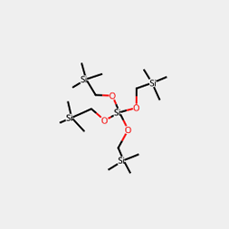 C[Si](C)(C)CO[Si](OC[Si](C)(C)C)(OC[Si](C)(C)C)OC[Si](C)(C)C